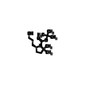 CC(C)(C)OC(=O)N1[C@H](CCCO)CCC1(C)C